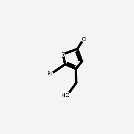 OCc1cc(Cl)sc1Br